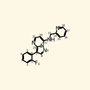 Fc1ccccc1-c1cnn2c(NCc3ccccn3)ccnc12